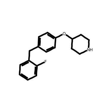 Fc1ccccc1Cc1ccc(OC2CCNCC2)cc1